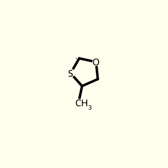 CC1CO[CH]S1